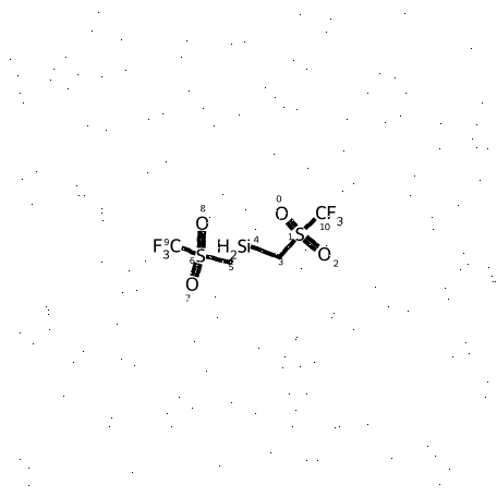 O=S(=O)(C[SiH2]CS(=O)(=O)C(F)(F)F)C(F)(F)F